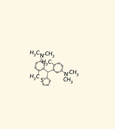 Cc1ccc(N(C)C)cc1C(c1cccs1)c1cc(N(C)C)ccc1C